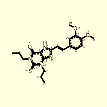 CCCn1c(=O)c2[nH]c(C=Cc3ccc(OC)c(OC)c3)nc2n(CCC)c1=S